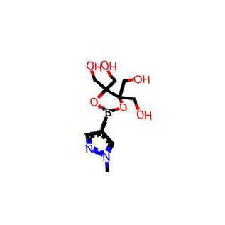 Cn1cc(B2OC(CO)(CO)C(CO)(CO)O2)cn1